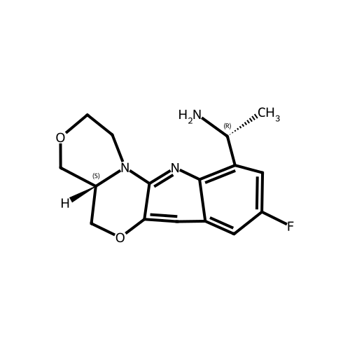 C[C@@H](N)c1cc(F)cc2cc3c(nc12)N1CCOC[C@H]1CO3